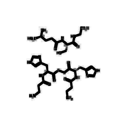 NCCC(=O)N[C@@H](Cc1c[nH]cn1)C(=O)SSC(=O)[C@H](Cc1c[nH]cn1)NC(=O)CCN.N[C@@H](CCC(=O)N[C@@H](CS)C(=O)NCC(=O)O)C(=O)O